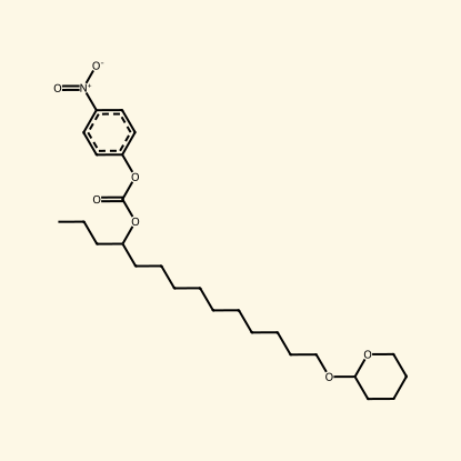 CCCC(CCCCCCCCCCOC1CCCCO1)OC(=O)Oc1ccc([N+](=O)[O-])cc1